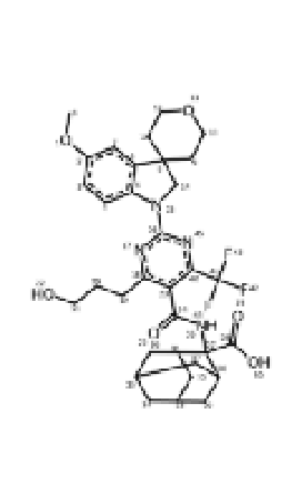 COc1ccc2c(c1)C1(CCOCC1)CN2c1nc(CCCO)c(C(=O)NC2(C(=O)O)C3CC4CC(C3)CC2C4)c(C(F)(F)F)n1